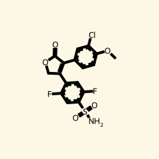 COc1ccc(C2=C(c3cc(F)c(S(N)(=O)=O)cc3F)COC2=O)cc1Cl